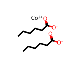 CCCCCC(=O)[O-].CCCCCC(=O)[O-].[Co+2]